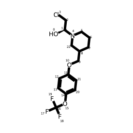 O[C@@H](CCl)N1CCCC(COc2ccc(OC(F)(F)F)cc2)C1